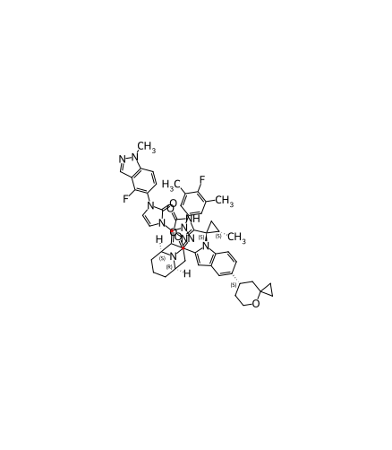 Cc1cc(-n2nc3c(c2-n2ccn(-c4ccc5c(cnn5C)c4F)c2=O)[C@@H]2CCC[C@H](C3)N2C(=O)c2cc3cc([C@H]4CCOC5(CC5)C4)ccc3n2[C@@]2(c3noc(=O)[nH]3)C[C@@H]2C)cc(C)c1F